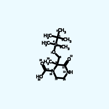 CC(C)(C)[Si](C)(C)OC[C@]1(C)C(=O)NCCN1C(=O)O